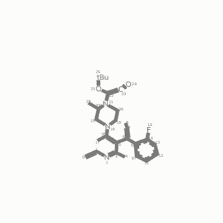 C=C\N=C(C)/C(C(=C\C)/c1ccccc1F)=C(\C)N1CCN(C(=C=O)OC(C)(C)C)C(C)C1